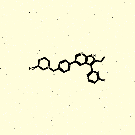 CCc1[nH]c2ncc(-c3ccc(CN4CCCC(O)C4)cc3)cc2c1-c1cccc(F)c1